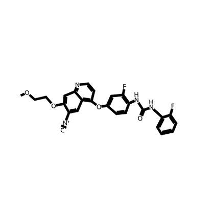 [C-]#[N+]c1cc2c(Oc3ccc(NC(=O)Nc4ccccc4F)c(F)c3)ccnc2cc1OCCOC